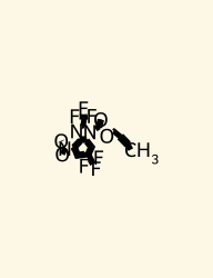 CC#CCOC(=O)n1c(C(F)(F)F)nc2c([N+](=O)[O-])cc(C(F)(F)F)cc21